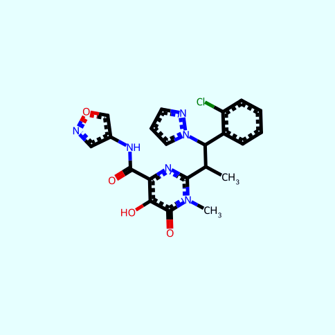 CC(c1nc(C(=O)Nc2cnoc2)c(O)c(=O)n1C)C(c1ccccc1Cl)n1cccn1